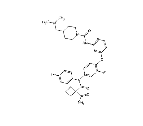 CN(C)CC1CCN(C(=O)Nc2cc(Oc3ccc(N(C(=O)C4(C(N)=O)CCC4)c4ccc(F)cc4)cc3F)ccn2)CC1